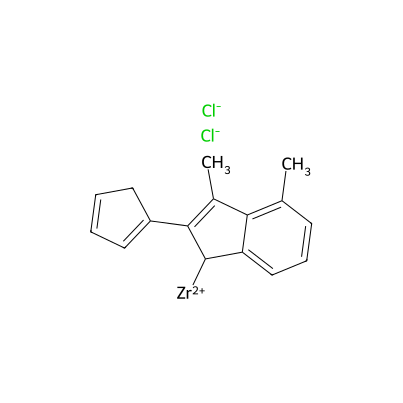 CC1=C(C2=CC=CC2)[CH]([Zr+2])c2cccc(C)c21.[Cl-].[Cl-]